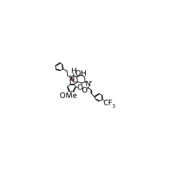 COc1ccc2c3c1OC1C(N(C)C(=O)/C=C/c4ccc(C(F)(F)F)cc4)CC[C@@]4(O)[C@@H](C2)N(CCc2ccccc2)CC[C@]314